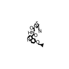 N#C[C@@H]1CSCN1C(=O)CNC(=O)c1ccnc2ccc(OCC3CC3)cc12